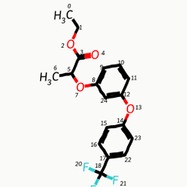 CCOC(=O)C(C)Oc1cccc(Oc2ccc(C(F)(F)F)cc2)c1